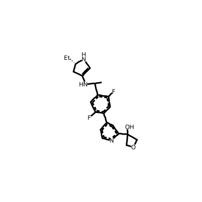 CC[C@H]1CC(NC(C)c2cc(F)c(-c3ccnc(C4(O)COC4)c3)cc2F)=CN1